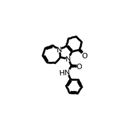 O=C1CCCC2=C1N(C(=O)Nc1ccccc1)C1CC=CC=CN21